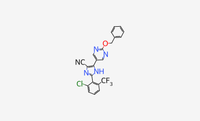 N#Cc1nc(-c2c(Cl)cccc2C(F)(F)F)[nH]c1-c1cnc(OCc2ccccc2)nc1